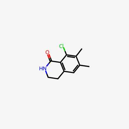 Cc1cc2c(c(Cl)c1C)C(=O)NCC2